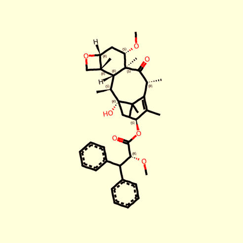 CO[C@H]1C[C@H]2OC[C@@]2(C)[C@H]2[C@H](C)[C@]3(O)C[C@H](OC(=O)[C@H](OC)C(c4ccccc4)c4ccccc4)C(C)=C([C@@H](C)C(=O)[C@]12C)C3(C)C